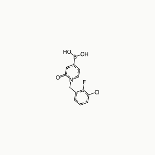 O=c1cc(B(O)O)ccn1Cc1cccc(Cl)c1F